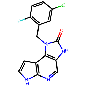 O=c1[nH]c2cnc3[nH]ccc3c2n1Cc1cc(Cl)ccc1F